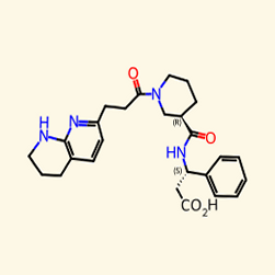 O=C(O)C[C@H](NC(=O)[C@@H]1CCCN(C(=O)CCc2ccc3c(n2)NCCC3)C1)c1ccccc1